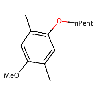 CCCCCOc1cc(C)c(OC)cc1C